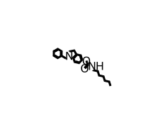 CCCCCCCNC(=O)Oc1ccc2c(c1)CCN2Cc1ccccc1